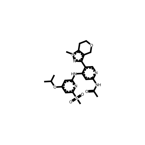 CC(=O)Nc1cc(Nc2cc(OC(C)C)cc(S(C)(=O)=O)n2)c(-c2nn(C)c3c2COCC3)cn1